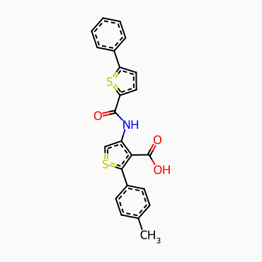 Cc1ccc(-c2scc(NC(=O)c3ccc(-c4ccccc4)s3)c2C(=O)O)cc1